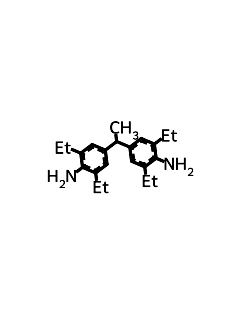 CCc1cc(C(C)c2cc(CC)c(N)c(CC)c2)cc(CC)c1N